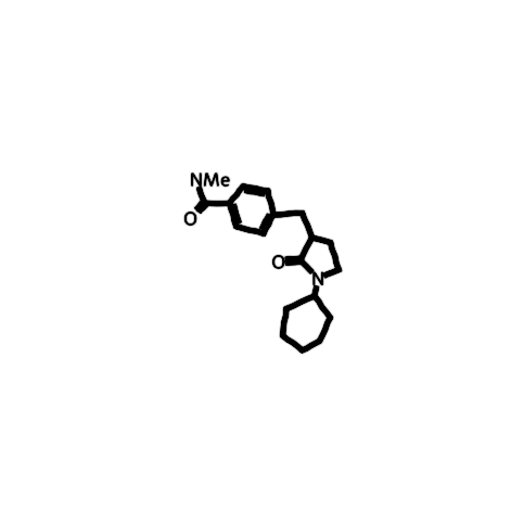 CNC(=O)c1ccc(CC2CCN(C3CCCCC3)C2=O)cc1